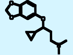 CN(C)CCC(Oc1ccc2c(c1)OCO2)C1CC1